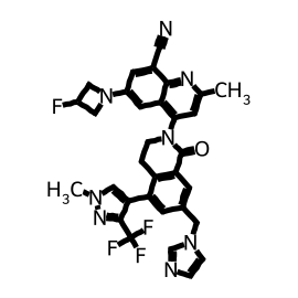 Cc1cc(N2CCc3c(cc(Cn4ccnc4)cc3-c3cn(C)nc3C(F)(F)F)C2=O)c2cc(N3CC(F)C3)cc(C#N)c2n1